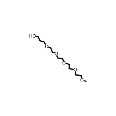 COCCOCCOCCOCCOCCCO